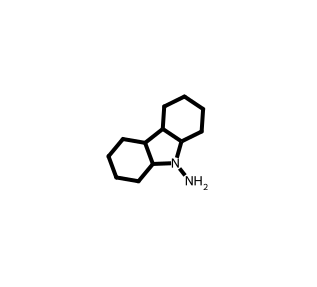 NN1C2CCCCC2C2CCCCC21